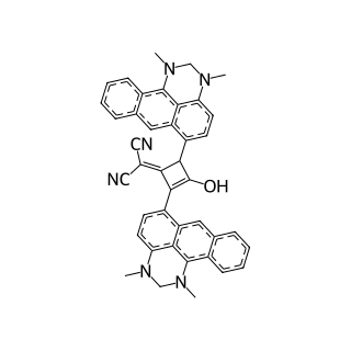 CN1CN(C)c2c3ccccc3cc3c(C4=C(O)C(c5ccc6c7c(c8ccccc8cc57)N(C)CN6C)C4=C(C#N)C#N)ccc1c23